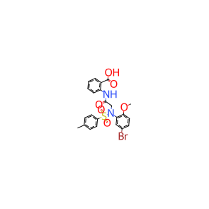 COc1ccc(Br)cc1N(CC(=O)Nc1ccccc1C(=O)O)S(=O)(=O)c1ccc(C)cc1